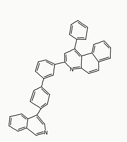 c1ccc(-c2cc(-c3cccc(-c4ccc(-c5cncc6ccccc56)cc4)c3)nc3ccc4ccccc4c23)cc1